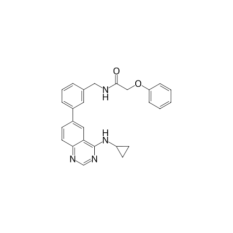 O=C(COc1ccccc1)NCc1cccc(-c2ccc3ncnc(NC4CC4)c3c2)c1